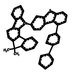 CC1(C)c2ccccc2-c2c1ccc1c3ccccc3n(-c3ccc4c(c3)sc3cccc(-c5ccc(-c6ccccc6)cc5)c34)c21